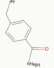 CCCCCCCC(=O)c1ccc(CC(C)C)cc1